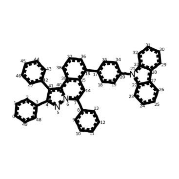 c1ccc(-c2nn3c(-c4ccccc4)cc4c(-c5ccc(-n6c7ccccc7c7ccccc76)cc5)cccc4c3c2-c2ccccc2)cc1